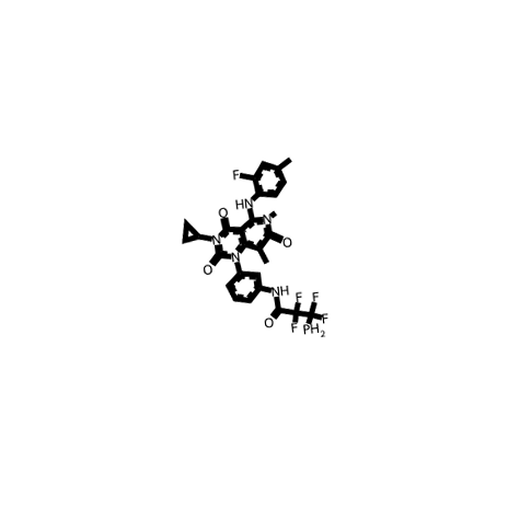 Cc1ccc(Nc2c3c(=O)n(C4CC4)c(=O)n(-c4cccc(NC(=O)C(F)(F)C(F)(F)P)c4)c3c(C)c(=O)n2C)c(F)c1